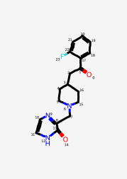 O=C(CC1CCN(Cc2ncc[nH]c2=O)CC1)c1ccccc1F